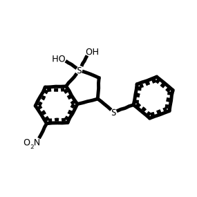 O=[N+]([O-])c1ccc2c(c1)C(Sc1ccccc1)CS2(O)O